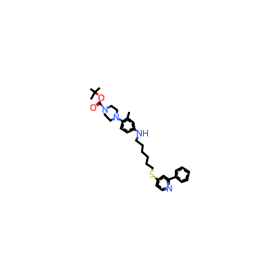 Cc1cc(NCCCCCCSc2ccnc(-c3ccccc3)c2)ccc1N1CCN(C(=O)OC(C)(C)C)CC1